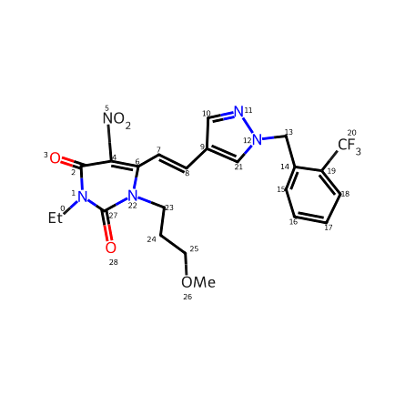 CCn1c(=O)c([N+](=O)[O-])c(C=Cc2cnn(Cc3ccccc3C(F)(F)F)c2)n(CCCOC)c1=O